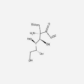 C=CC(=O)[C@](N)(C=O)[C@@H](O)[C@H](O)[C@H](O)CO